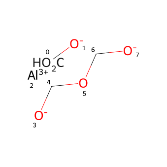 O=C([O-])O.[Al+3].[O-]COC[O-]